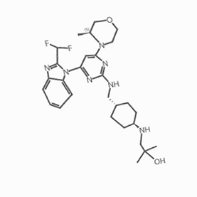 C[C@H]1COCCN1c1cc(-n2c(C(F)F)nc3ccccc32)nc(NC[C@H]2CC[C@H](NCC(C)(C)O)CC2)n1